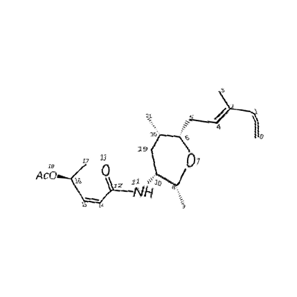 C=C/C(C)=C/C[C@@H]1O[C@H](C)[C@H](NC(=O)/C=C\[C@H](C)OC(C)=O)C[C@@H]1C